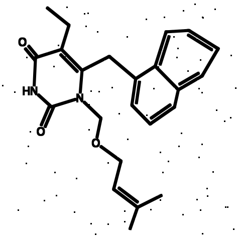 CCc1c(Cc2cccc3ccccc23)n(COCC=C(C)C)c(=O)[nH]c1=O